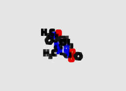 C[C@@H]1CN(c2c(C#N)c(=O)n(C)c3ccccc23)[C@@H](C)CN1Cc1cn(S(=O)(=O)c2ccccc2)[nH]1